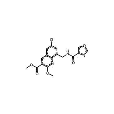 COC(=O)c1cc2cc(Cl)cc(CNC(=O)c3cocn3)c2nc1OC